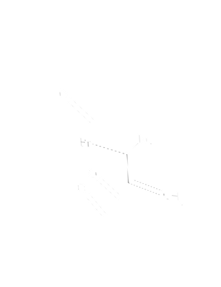 C=C[CH](Br)[Ru].[C]=O.[C]=O.[C]=O